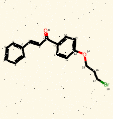 O=C(/C=C/c1ccccc1)c1ccc(OCCCBr)cc1